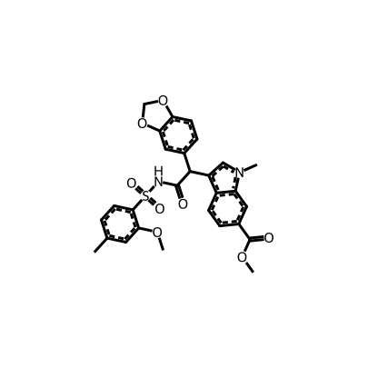 COC(=O)c1ccc2c(C(C(=O)NS(=O)(=O)c3ccc(C)cc3OC)c3ccc4c(c3)OCO4)cn(C)c2c1